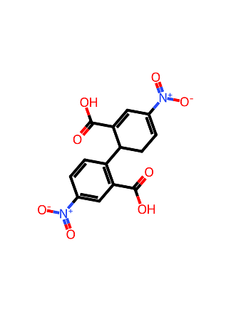 O=C(O)C1=CC([N+](=O)[O-])=CCC1c1ccc([N+](=O)[O-])cc1C(=O)O